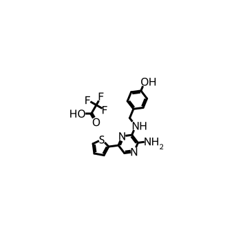 Nc1ncc(-c2cccs2)nc1NCc1ccc(O)cc1.O=C(O)C(F)(F)F